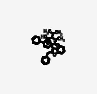 CC(C)C(C(=O)O)N(C)C(=O)C1(c2c(Cc3ccccc3)oc3ccccc23)C=CC(c2ccccc2)C=C1